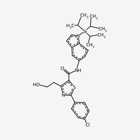 CC(C)[Si](C(C)C)(C(C)C)n1ccc2cc(NC(=O)c3sc(-c4ccc(Cl)cc4)nc3CCO)ccc21